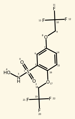 O=S(=O)(NO)c1cc(OCC(F)(F)F)ccc1OCC(F)(F)F